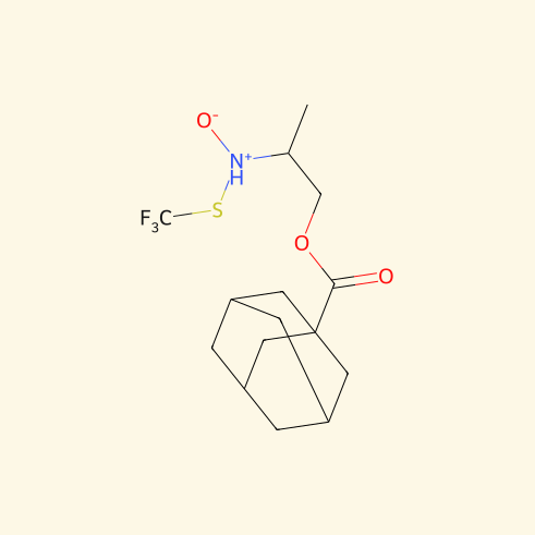 CC(COC(=O)C12CC3CC(CC(C3)C1)C2)[NH+]([O-])SC(F)(F)F